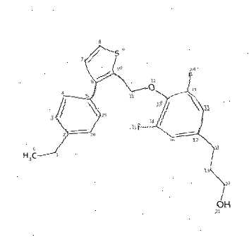 CCc1ccc(-c2ccsc2COc2c(F)cc(CCCO)cc2F)cc1